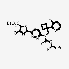 CCCC(F)OC(=O)N(CC1(c2ncccc2F)CCC1)c1ccc(C2N=C(O)C(C(=O)OCC)S2)nn1